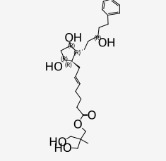 CC(CO)(CO)COC(=O)CCCC=CC[C@@H]1[C@@H](CC[C@@H](O)CCc2ccccc2)[C@H](O)C[C@H]1O